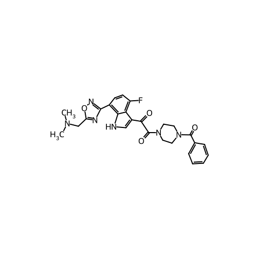 CN(C)Cc1nc(-c2ccc(F)c3c(C(=O)C(=O)N4CCN(C(=O)c5ccccc5)CC4)c[nH]c23)no1